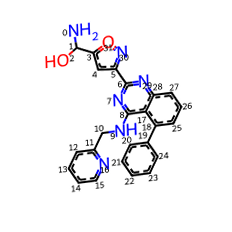 NC(O)c1cc(-c2nc(NCc3ccccn3)c3c(-c4ccccc4)cccc3n2)no1